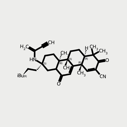 C#CC(=C)N[C@@]1(CC[C@H](C)CC)CC[C@]2(C)C(C1)C(=O)C=C1[C@@]3(C)C=C(C#N)C(=O)C(C)(C)[C@@H]3CC[C@]12C